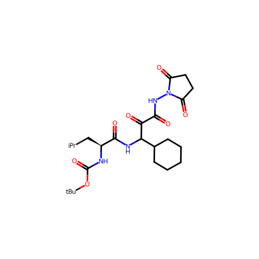 CC(C)C[C@H](NC(=O)OC(C)(C)C)C(=O)NC(C(=O)C(=O)NN1C(=O)CCC1=O)C1CCCCC1